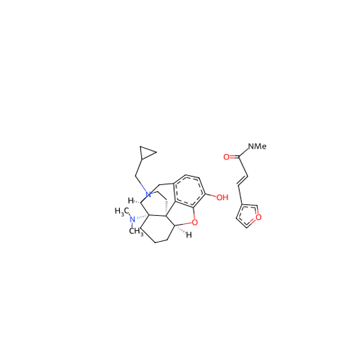 CN(C)[C@@]12CCC[C@@H]3Oc4c(O)ccc5c4[C@@]31CCN(CC1CC1)[C@@H]2C5.CNC(=O)/C=C/c1ccoc1